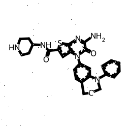 Nc1nc2sc(C(=O)NC3CCNCC3)cc2n(-c2ccc3c(c2)N(c2ccccc2)CCC3)c1=O